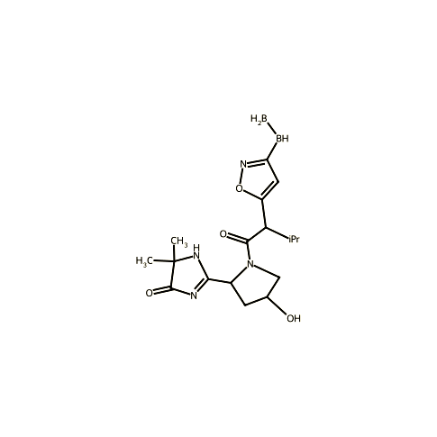 BBc1cc(C(C(=O)N2CC(O)CC2C2=NC(=O)C(C)(C)N2)C(C)C)on1